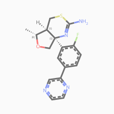 C[C@H]1OC[C@]2(c3cc(-c4cnccn4)ccc3F)N=C(N)SC[C@H]12